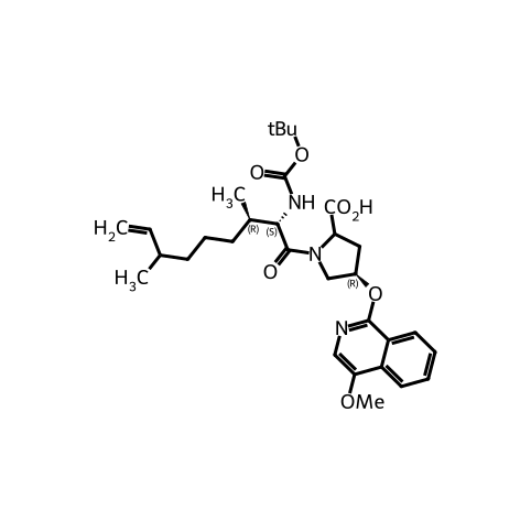 C=CC(C)CCC[C@@H](C)[C@H](NC(=O)OC(C)(C)C)C(=O)N1C[C@H](Oc2ncc(OC)c3ccccc23)CC1C(=O)O